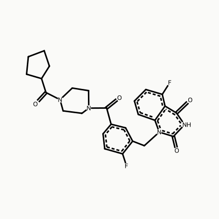 O=C(c1ccc(F)c(Cn2c(=O)[nH]c(=O)c3c(F)cccc32)c1)N1CCN(C(=O)C2CCCC2)CC1